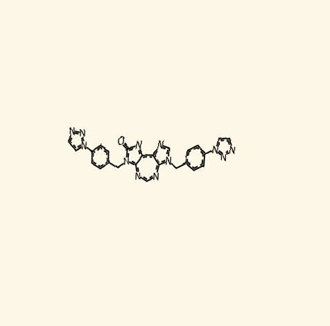 O=c1nc2c3ncn(Cc4ccc(-n5ccnn5)cc4)c3ncnc-2n1Cc1ccc(-n2ccnn2)cc1